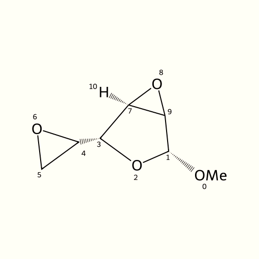 CO[C@@H]1O[C@H](C2CO2)[C@H]2OC12